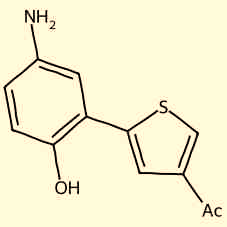 CC(=O)c1csc(-c2cc(N)ccc2O)c1